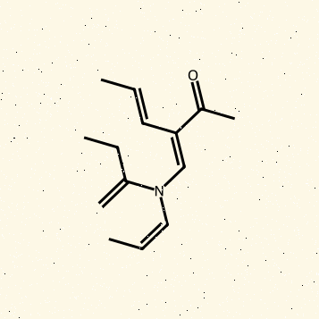 C=C(CC)N(/C=C\C)/C=C(\C=C\C)C(C)=O